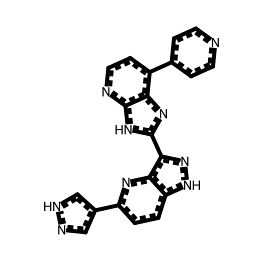 c1cc(-c2ccnc3[nH]c(-c4n[nH]c5ccc(-c6cn[nH]c6)nc45)nc23)ccn1